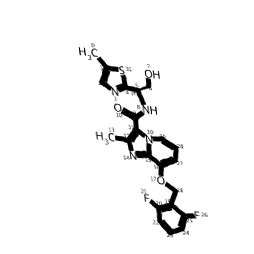 Cc1cnc([C@@H](CO)NC(=O)c2c(C)nc3c(OCc4c(F)cccc4F)cccn23)s1